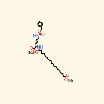 CC(C)(C)OC(=O)CCCCCCCCCCCCCCCCC(=O)N[C@@H](CCCCNC(=O)OCc1ccccc1)C(=O)OC(C)(C)C